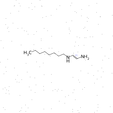 CCCCCCCCN/C=C/N